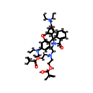 C=C(C)C(=O)OCCN(CCOC(=O)C(=C)C)CCN1C(=O)c2ccccc2C12c1ccc(N(CC)CC)cc1Oc1cc(N(CC)CC)ccc12